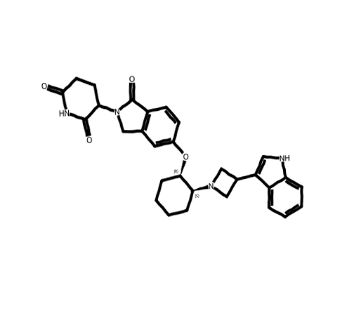 O=C1CCC(N2Cc3cc(O[C@@H]4CCCC[C@@H]4N4CC(c5c[nH]c6ccccc56)C4)ccc3C2=O)C(=O)N1